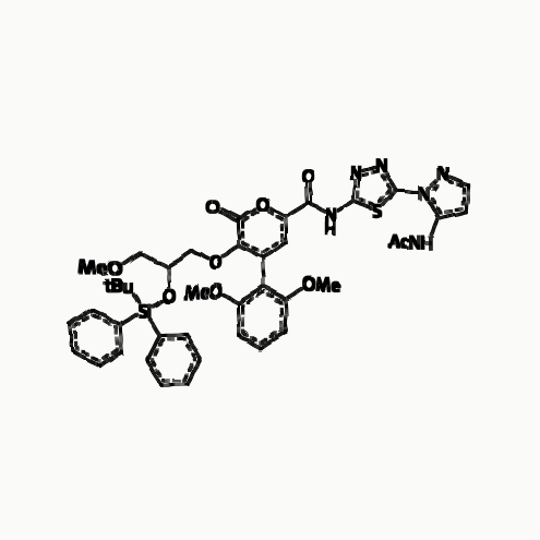 COCC(COc1c(-c2c(OC)cccc2OC)cc(C(=O)Nc2nnc(-n3nccc3NC(C)=O)s2)oc1=O)O[Si](c1ccccc1)(c1ccccc1)C(C)(C)C